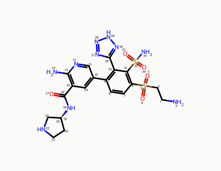 NCCS(=O)(=O)c1ccc(-c2cnc(N)c(C(=O)N[C@H]3CCNC3)c2)c(-c2nn[nH]n2)c1S(N)(=O)=O